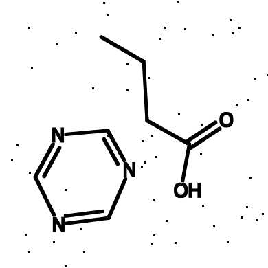 CCCC(=O)O.c1ncncn1